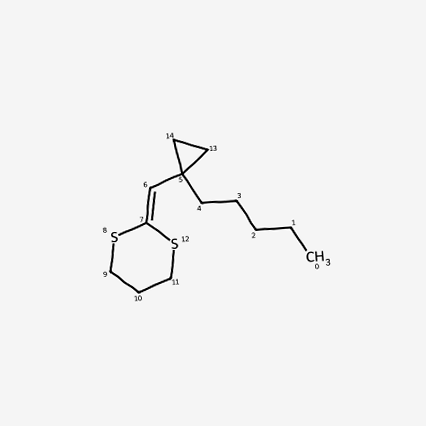 CCCCCC1(C=C2SCCCS2)CC1